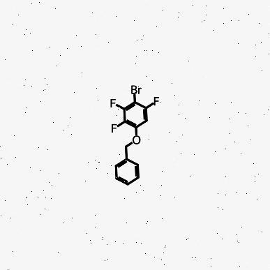 Fc1cc(OCc2ccccc2)c(F)c(F)c1Br